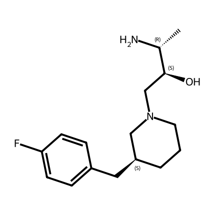 C[C@@H](N)[C@@H](O)CN1CCC[C@@H](Cc2ccc(F)cc2)C1